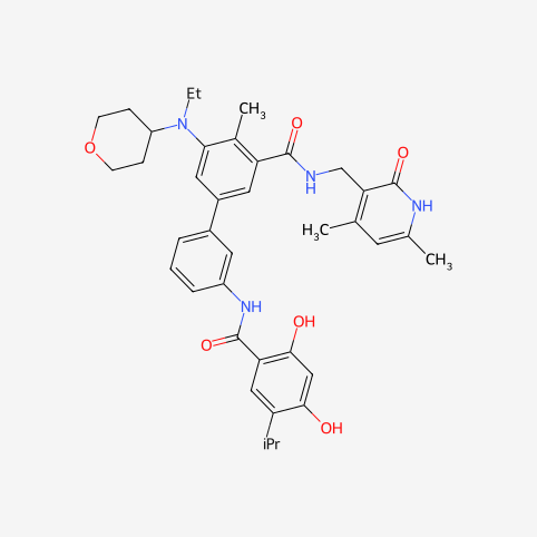 CCN(c1cc(-c2cccc(NC(=O)c3cc(C(C)C)c(O)cc3O)c2)cc(C(=O)NCc2c(C)cc(C)[nH]c2=O)c1C)C1CCOCC1